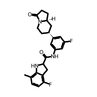 Cc1ccc(F)c2c1NC(C(=O)Nc1cc(F)cc([C@@H]3CCN4C(=O)CC[C@H]4C3)c1)C2